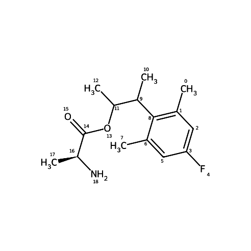 Cc1cc(F)cc(C)c1C(C)C(C)OC(=O)[C@H](C)N